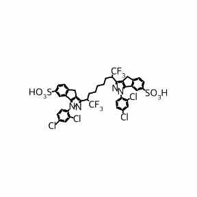 O=S(=O)(O)c1ccc2c(c1)-c1c(c(C(CCCCCC(c3nn(-c4ccc(Cl)cc4Cl)c4c3Cc3ccc(S(=O)(=O)O)cc3-4)C(F)(F)F)C(F)(F)F)nn1-c1ccc(Cl)cc1Cl)C2